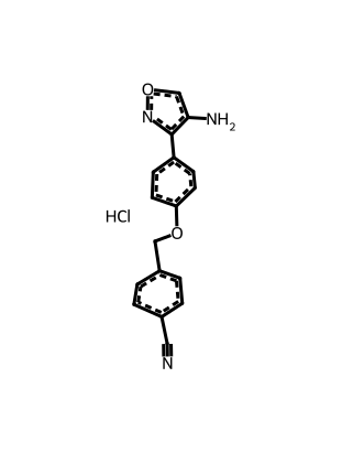 Cl.N#Cc1ccc(COc2ccc(-c3nocc3N)cc2)cc1